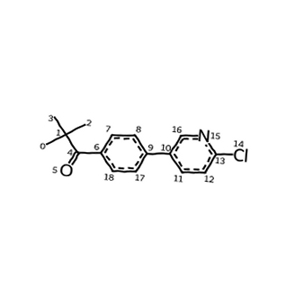 CC(C)(C)C(=O)c1ccc(-c2ccc(Cl)nc2)cc1